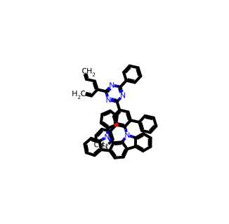 C=C/C=C(\C=C)c1nc(-c2ccccc2)nc(-c2cc(C(/C=C\C)=C/CC)c(-n3c4ccccc4c4ccc5c6ccccc6n(-c6ccccc6)c5c43)c(-c3ccccc3)c2)n1